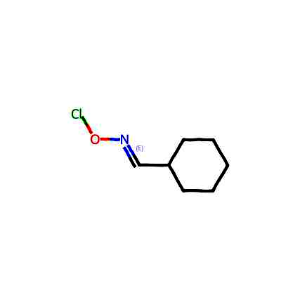 ClO/N=C/C1CCCCC1